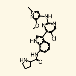 COc1nn(C)cc1Nc1ncc(Cl)c(-c2c[nH]c3c(NC(=O)C4CCCN4)cccc23)n1